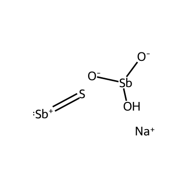 [Na+].[O-][Sb]([O-])[OH].[S]=[Sb+]